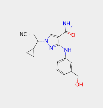 N#CCC(C1CC1)n1cc(C(N)=O)c(Nc2cccc(CO)c2)n1